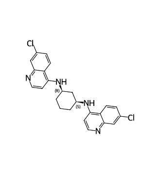 Clc1ccc2c(N[C@@H]3CCC[C@H](Nc4ccnc5cc(Cl)ccc45)C3)ccnc2c1